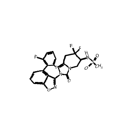 CS(=O)(=O)NC1Cn2c(cn(-c3noc4cccc(-c5c(F)cccc5F)c34)c2=O)CC1(F)F